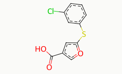 O=C(O)c1coc(Sc2cccc(Cl)c2)c1